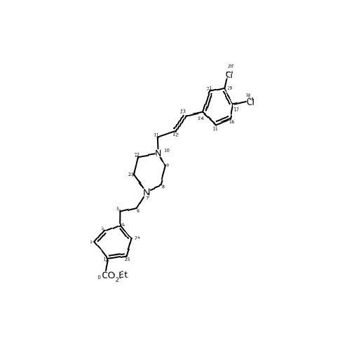 CCOC(=O)c1ccc(CCN2CCN(C/C=C/c3ccc(Cl)c(Cl)c3)CC2)cc1